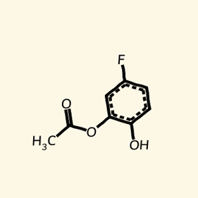 CC(=O)Oc1cc(F)ccc1O